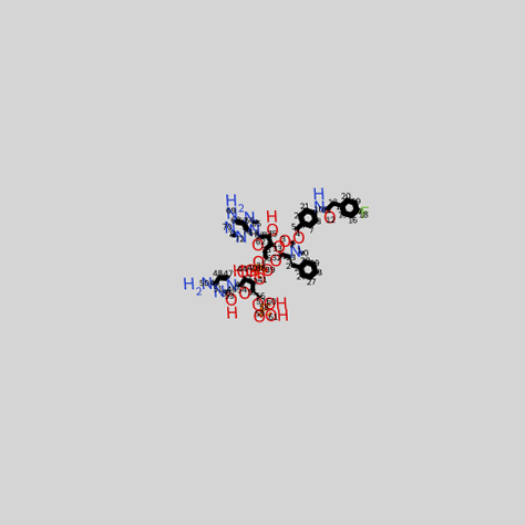 CN(C(=O)OCc1ccc(NC(=O)Cc2ccc(F)cc2)cc1)[C@@H](Cc1ccccc1)C(=O)O[C@H]1C(COP(=O)(O)O[C@@H]2[C@H](O)[C@H](N3C=CC(N)=NC3O)O[C@@H]2COP(=O)(O)O)O[C@@H](n2cnc3c(N)ncnc32)[C@H]1O